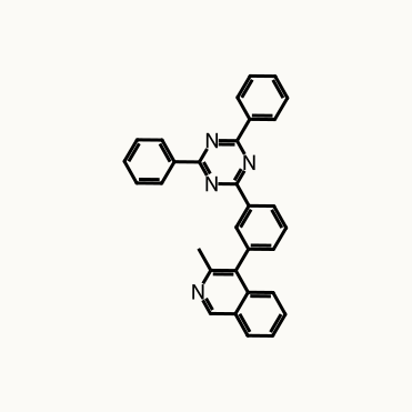 Cc1ncc2ccccc2c1-c1cccc(-c2nc(-c3ccccc3)nc(-c3ccccc3)n2)c1